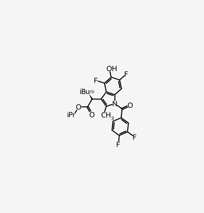 CC[C@H](C)C(C(=O)OC(C)C)c1c(C)n(C(=O)c2ccc(F)c(F)c2)c2cc(F)c(O)c(F)c12